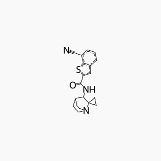 N#Cc1cccc2cc(C(=O)NC3C4CCN(CC4)C34CC4)sc12